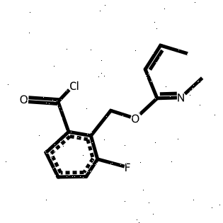 C/C=C\C(=N/C)OCc1c(F)cccc1C(=O)Cl